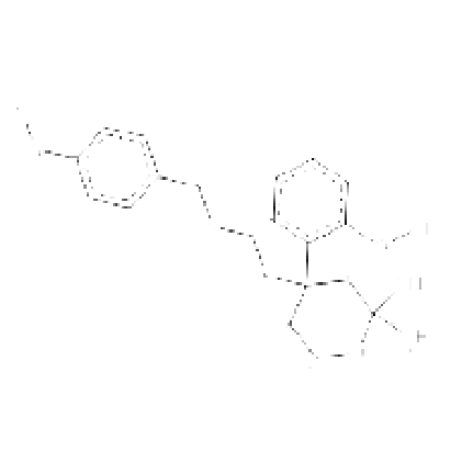 CNc1ccc(CNCCC2(c3ccccc3OC)CCOC(C)(C)C2)cc1